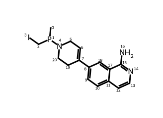 CP(CI)N1CC=C(c2ccc3ccnc(N)c3c2)CC1